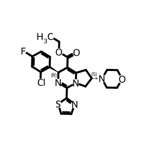 CCOC(=O)C1=C2C[C@H](N3CCOCC3)CN2C(c2nccs2)=N[C@H]1c1ccc(F)cc1Cl